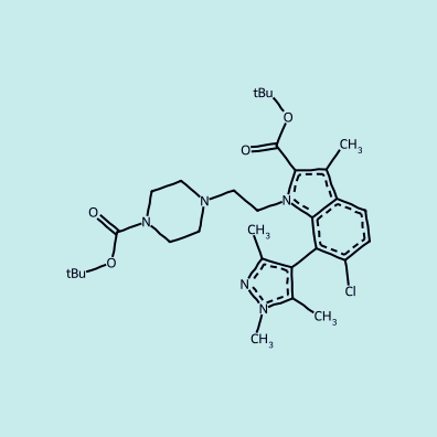 Cc1nn(C)c(C)c1-c1c(Cl)ccc2c(C)c(C(=O)OC(C)(C)C)n(CCN3CCN(C(=O)OC(C)(C)C)CC3)c12